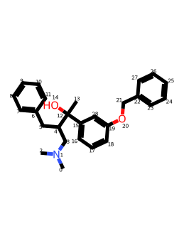 CN(C)CC(Cc1ccccc1)C(C)(O)c1cccc(OCc2ccccc2)c1